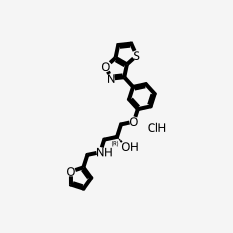 Cl.O[C@H](CNCc1ccco1)COc1cccc(-c2noc3ccsc23)c1